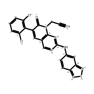 C#CCn1c(=O)c(-c2c(Cl)cccc2Cl)cc2cnc(Nc3ccc4nsnc4c3)nc21